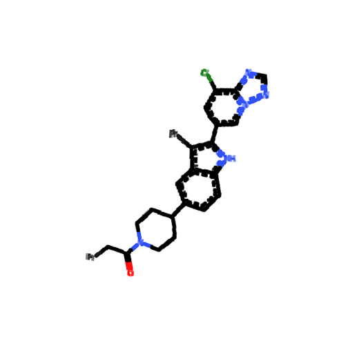 CC(C)CC(=O)N1CCC(c2ccc3[nH]c(-c4cc(Cl)c5ncnn5c4)c(C(C)C)c3c2)CC1